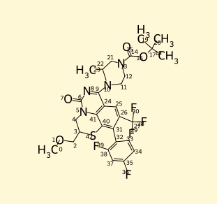 COCC1Cn2c(=O)nc(N3CCN(C(=O)OC(C)(C)C)CC3C)c3cc(C(F)(F)F)c(-c4ccc(F)cc4F)c(c32)S1